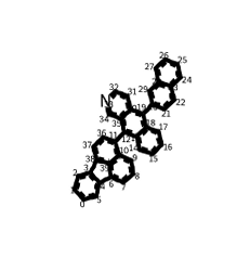 c1ccc2c(c1)-c1cccc3c(-c4c5ccccc5c(-c5ccc6ccccc6c5)c5ccncc45)ccc-2c13